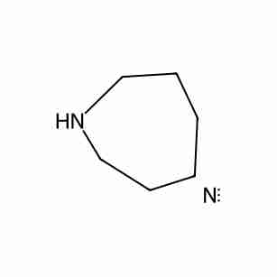 C1CCCNCC1.[N]